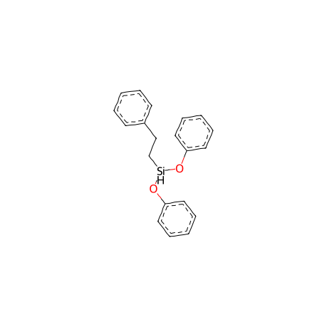 c1ccc(CC[SiH](Oc2ccccc2)Oc2ccccc2)cc1